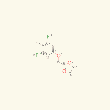 Cc1c(F)cc(OCC2OCCO2)cc1F